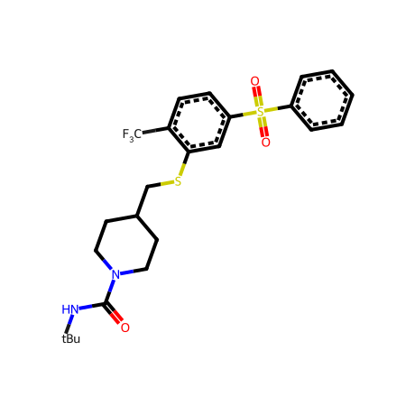 CC(C)(C)NC(=O)N1CCC(CSc2cc(S(=O)(=O)c3ccccc3)ccc2C(F)(F)F)CC1